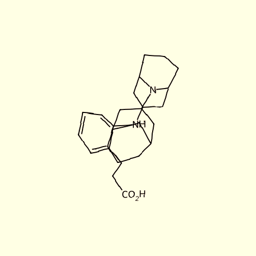 O=C(O)CCc1ccccc1NC1CC2CCCC(C1)N2C1CC2CCCC(C2)C1